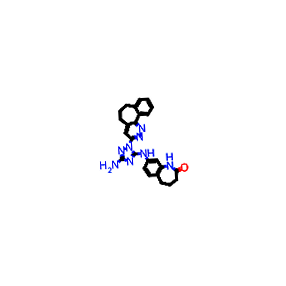 Nc1nc(Nc2ccc3c(c2)NC(=O)CCC3)n(-c2cc3c(nn2)-c2ccccc2CCC3)n1